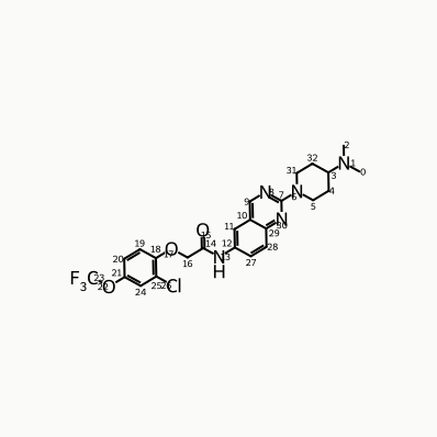 CN(C)C1CCN(c2ncc3cc(NC(=O)COc4ccc(OC(F)(F)F)cc4Cl)ccc3n2)CC1